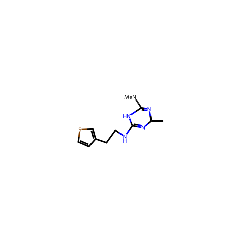 CNC1=NC(C)N=C(NCCc2ccsc2)N1